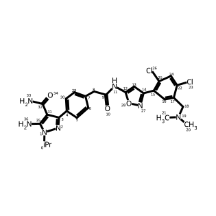 CC(C)n1nc(-c2ccc(CC(=O)Nc3cc(-c4cc(CN(C)C)c(Cl)cc4Cl)no3)cc2)c(C(N)=O)c1N